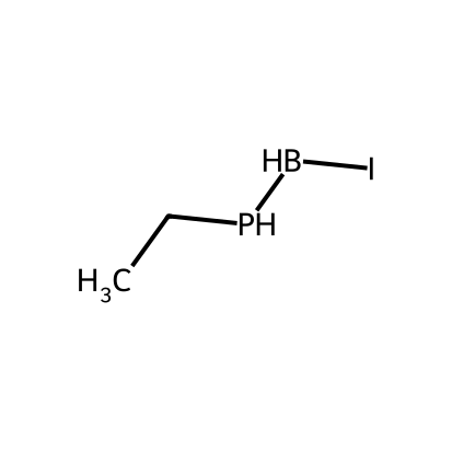 CCPBI